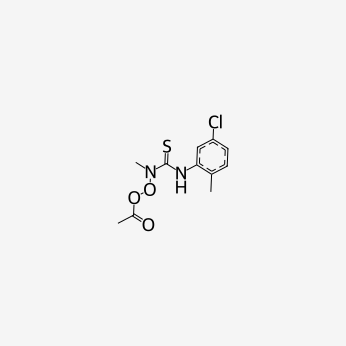 CC(=O)OON(C)C(=S)Nc1cc(Cl)ccc1C